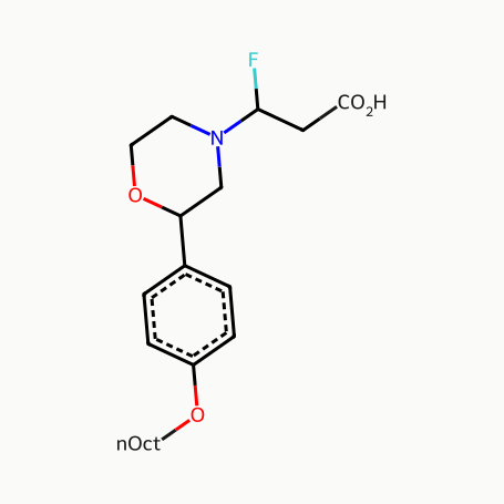 CCCCCCCCOc1ccc(C2CN(C(F)CC(=O)O)CCO2)cc1